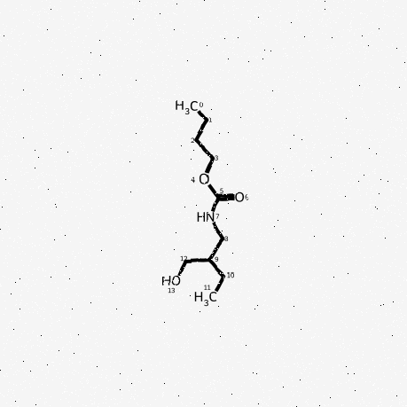 CCCCOC(=O)NCC(CC)CO